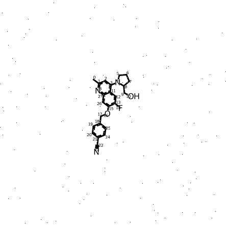 Cc1cc(N2CCCC2CO)c2cc(F)c(OCc3ccc(C#N)cc3)cc2n1